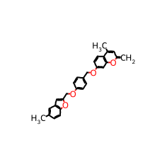 C=C1C=C(C)c2ccc(OCc3ccc(OCc4cc5cc(C)ccc5o4)cc3)cc2O1